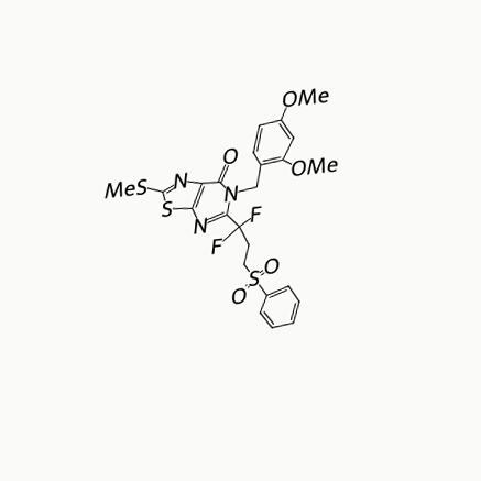 COc1ccc(Cn2c(C(F)(F)CCS(=O)(=O)c3ccccc3)nc3sc(SC)nc3c2=O)c(OC)c1